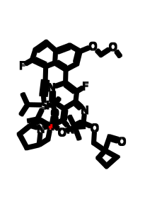 COCOc1cc(-c2ncc3c(N4CC5CCC(C4)N5C(=O)OC(C)(C)C)nc(OCC4(C=O)CCC4)nc3c2F)c2c(C#C[Si](C(C)C)(C(C)C)C(C)C)c(F)ccc2c1